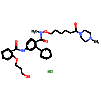 CN1CCN(C(=O)CCCCCON(C)C(=O)c2ccc(NC(=O)c3ccccc3OCCCO)cc2-c2ccccc2)CC1.Cl